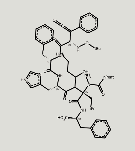 CCCCCC(=O)N(N)[C@](CC(C)C)(C(=O)N[C@@H](Cc1ccccc1)C(=O)O)C(C(=O)[C@H](Cc1c[nH]cn1)NC(=O)[C@H](Cc1ccccc1)NC(=O)[C@@H](NOC(C)(C)C)C(=C=O)c1ccccc1)C(O)CCN